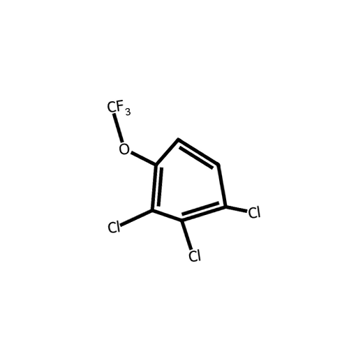 FC(F)(F)Oc1ccc(Cl)c(Cl)c1Cl